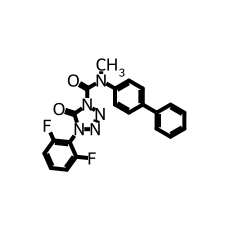 CN(C(=O)n1nnn(-c2c(F)cccc2F)c1=O)c1ccc(-c2ccccc2)cc1